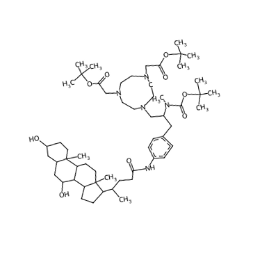 CC(CCC(=O)Nc1ccc(CC(CN2CCN(CC(=O)OC(C)(C)C)CCN(CC(=O)OC(C)(C)C)CC2)N(C)C(=O)OC(C)(C)C)cc1)C1CCC2C3C(O)CC4CC(O)CCC4(C)C3CCC12C